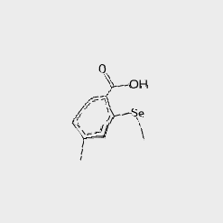 C[Se]c1cc(C)ccc1C(=O)O